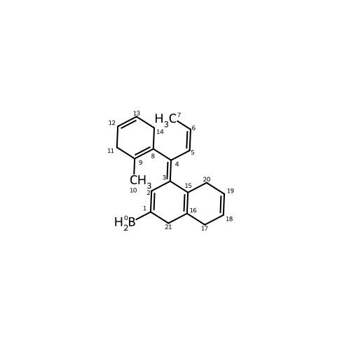 BC1=C/C(=C(/C=C\C)C2=C(C)CC=CC2)C2=C(CC=CC2)C1